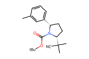 Cc1cccc([C@@H]2CC[C@H](C(C)(C)C#N)N2C(=O)OC(C)(C)C)c1